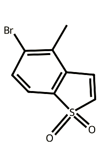 Cc1c(Br)ccc2c1C=CS2(=O)=O